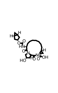 O=C(N[C@H]1CCCCCCC[C@@H]2C[C@@]2(C(=O)O)NC(=O)[C@@H]2C[C@@H](O)CN2C1=O)O[C@@H]1C[C@@H]2C[C@@H]2C1